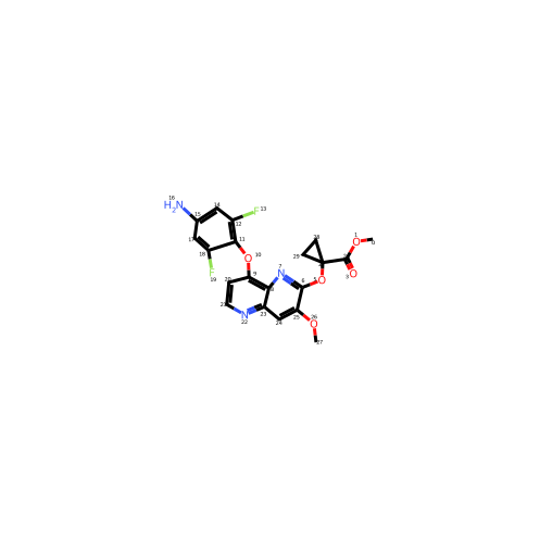 COC(=O)C1(Oc2nc3c(Oc4c(F)cc(N)cc4F)ccnc3cc2OC)CC1